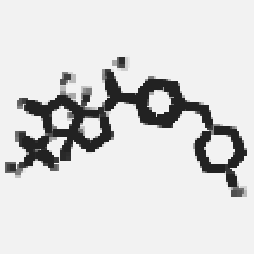 CC(=O)N1CCN(Cc2ccc(C(=O)N3CC[C@H]4[C@H]3[C@@H](C(C)C)C(=O)N4S(C)(=O)=O)cc2)CC1.Cl